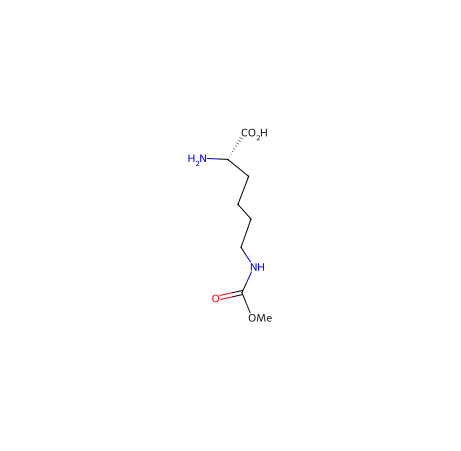 COC(=O)NCCCC[C@H](N)C(=O)O